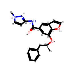 C[C@@H](Cc1ccccc1)Oc1cc(C(=O)Nc2ccn(C)n2)cc2ccoc12